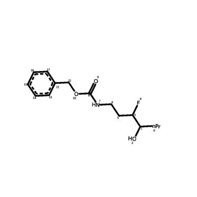 CCCC(O)C(F)CCNC(=O)OCc1ccccc1